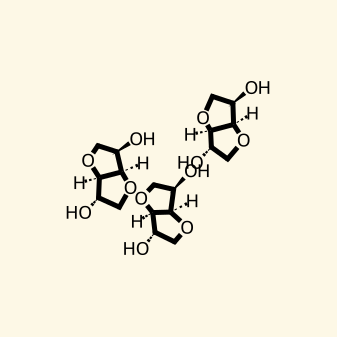 O[C@@H]1CO[C@H]2[C@@H]1OC[C@@H]2O.O[C@@H]1CO[C@H]2[C@@H]1OC[C@@H]2O.O[C@@H]1CO[C@H]2[C@@H]1OC[C@@H]2O